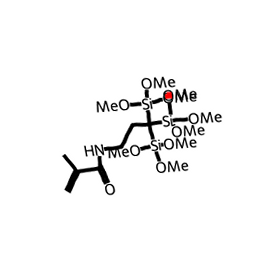 C=C(C)C(=O)NCCC([Si](OC)(OC)OC)([Si](OC)(OC)OC)[Si](OC)(OC)OC